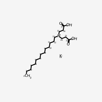 CCCCCCCCCCCCCCN(CCC(=O)O)CCC(=O)O.[K]